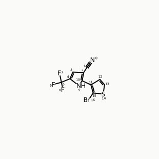 N#Cc1cc(C(F)(F)F)[nH]c1-c1ccsc1Br